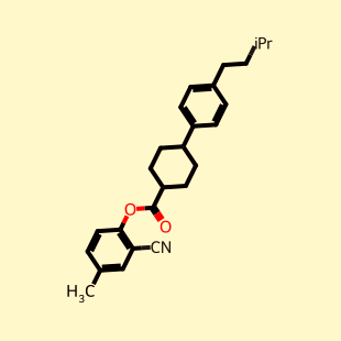 Cc1ccc(OC(=O)C2CCC(c3ccc(CCC(C)C)cc3)CC2)c(C#N)c1